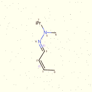 C/C=C\C=N\N(C)C(C)C